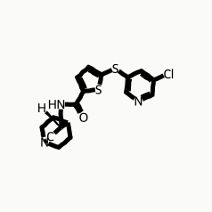 O=C(N[C@H]1CN2CCC1CC2)c1ccc(Sc2cncc(Cl)c2)s1